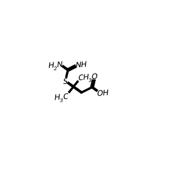 CC(C)(CC(=O)O)SC(=N)N